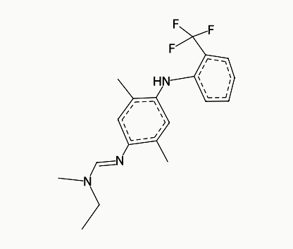 CCN(C)C=Nc1cc(C)c(Nc2ccccc2C(F)(F)F)cc1C